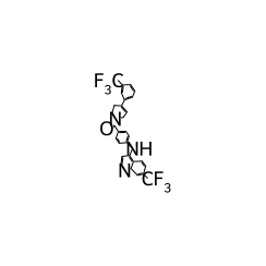 O=C(c1ccc(Nc2ccnc3cc(C(F)(F)F)ccc23)cc1)N1CC=C(c2cccc(C(F)(F)F)c2)CC1